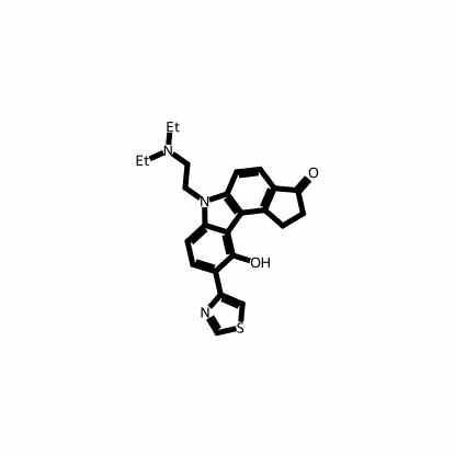 CCN(CC)CCn1c2ccc(-c3cscn3)c(O)c2c2c3c(ccc21)C(=O)CC3